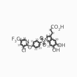 O=C(O)CCc1cn(S(=O)(=O)c2ccc(Oc3ncc(C(F)(F)F)cc3Cl)cc2)c2cc(O)c(O)cc12